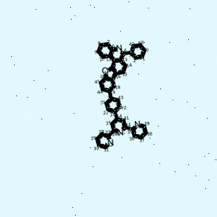 c1ccc(-c2nc3ccccc3c3c2ccc2c4cc(-c5ccc(-c6cc(-c7ccccn7)nc(-c7ccccn7)c6)cc5)ccc4oc23)cc1